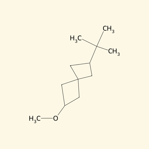 COC1CC2(C1)CC(C(C)(C)C)C2